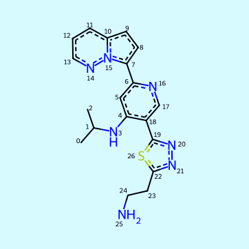 CC(C)Nc1cc(-c2ccc3cccnn23)ncc1-c1nnc(CCN)s1